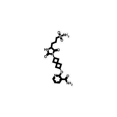 NC(=O)c1cccnc1O[C@H]1CC2(C1)C[C@H](N1C(=O)NC(CCCS(N)(=O)=O)C1=O)C2